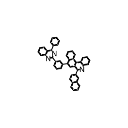 c1ccc(-c2nc(-c3cccc(-c4cc5c(-c6ccc7ccccc7c6)nc6ccccc6c5c5ccccc45)c3)nc3ccccc23)cc1